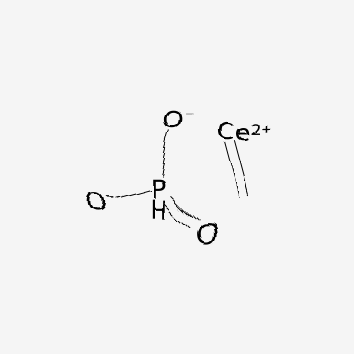 O=[PH]([O-])[O-].[CH2]=[Ce+2]